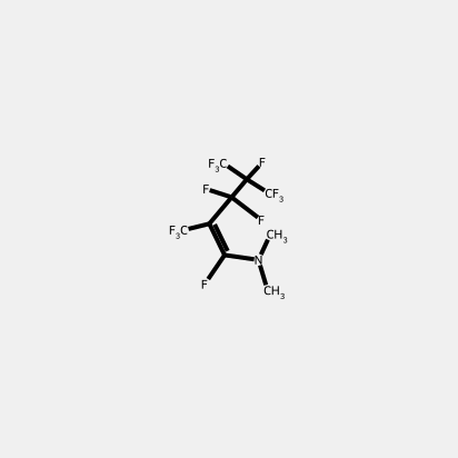 CN(C)C(F)=C(C(F)(F)F)C(F)(F)C(F)(C(F)(F)F)C(F)(F)F